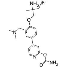 CC(C)CC(C)(N)COc1ccc(-c2ccnc(OC(N)=O)c2)cc1CN(C)C